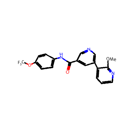 COc1ncccc1-c1cncc(C(=O)Nc2ccc(OC(F)(F)F)cc2)c1